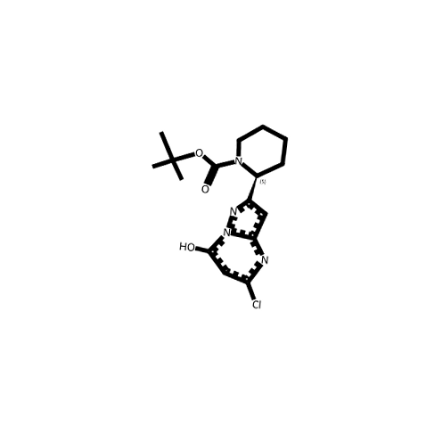 CC(C)(C)OC(=O)N1CCCC[C@H]1c1cc2nc(Cl)cc(O)n2n1